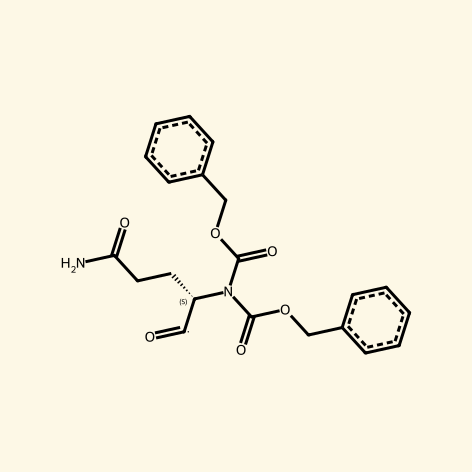 NC(=O)CC[C@@H]([C]=O)N(C(=O)OCc1ccccc1)C(=O)OCc1ccccc1